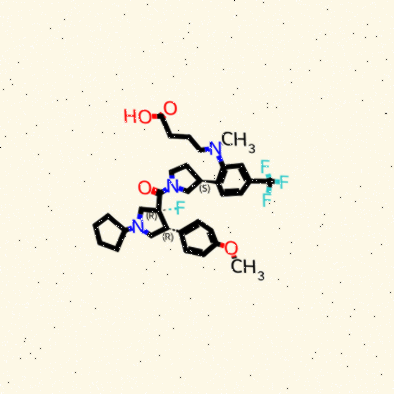 COc1ccc([C@@H]2CN(C3CCCC3)C[C@@]2(F)C(=O)N2CC[C@@H](c3ccc(C(F)(F)F)cc3N(C)CCCC(=O)O)C2)cc1